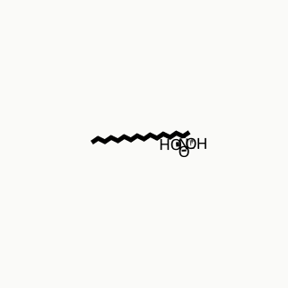 CCCCCCCCCCCCCCC(C)[N+]([O-])(O)O